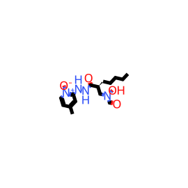 CCCCC[C@H](CN(O)C=O)C(=O)NNc1cc(C)cc[n+]1[O-]